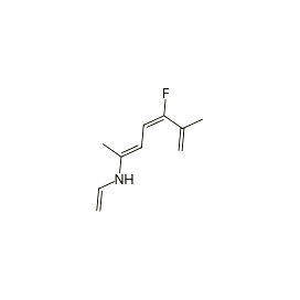 C=CN/C(C)=C/C=C(/F)C(=C)C